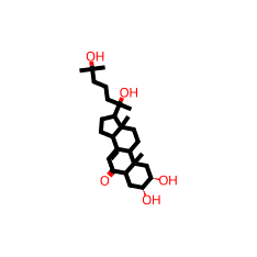 CC(C)(O)CCCC(C)(O)C1CCC2C3=CC(=O)C4C[C@@H](O)[C@@H](O)CC4(C)C3CCC21C